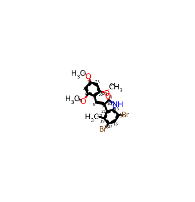 COc1cc(OC)c(C=C2C(=O)Nc3c(Br)cc(Br)c(C)c32)c(OC)c1